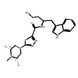 CC(C)CCC(Cc1c[nH]c2ccccc12)NC(=O)c1nnc(N2C[C@@H](C)N(C)[C@@H](C)C2)s1